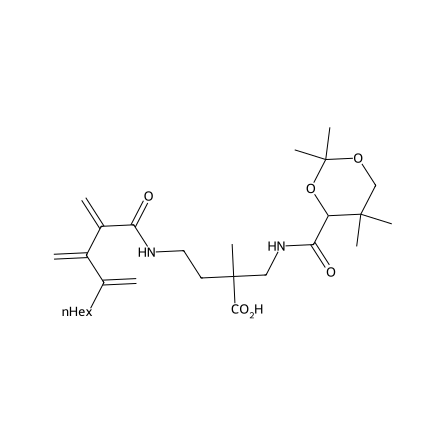 C=C(CCCCCC)C(=C)C(=C)C(=O)NCCC(C)(CNC(=O)C1OC(C)(C)OCC1(C)C)C(=O)O